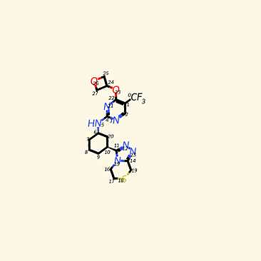 FC(F)(F)c1cnc(N[C@@H]2CCC[C@H](c3nnc4n3CCSC4)C2)nc1OC1COC1